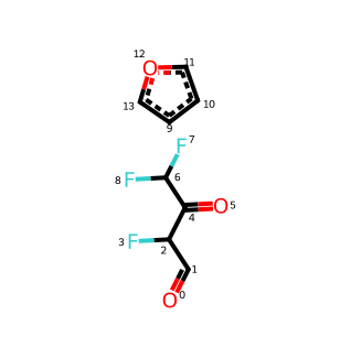 O=CC(F)C(=O)C(F)F.c1ccoc1